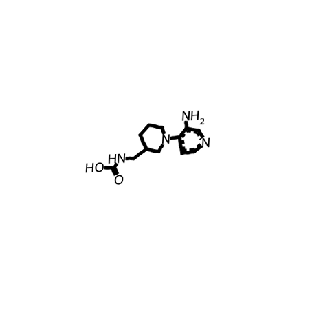 Nc1cnccc1N1CCCC(CNC(=O)O)C1